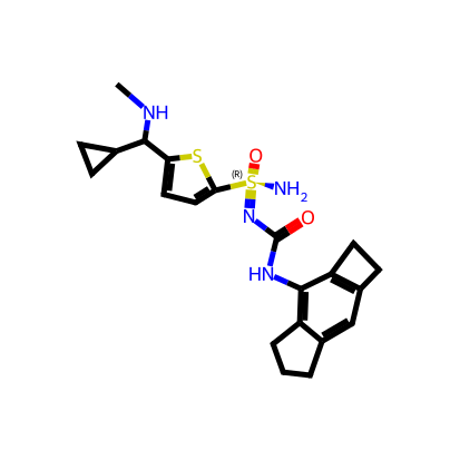 CNC(c1ccc([S@](N)(=O)=NC(=O)Nc2c3c(cc4c2CC4)CCC3)s1)C1CC1